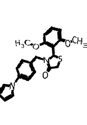 COc1cccc(OC)c1C1SCC(=O)N1Cc1ccc(-n2cccc2)cc1